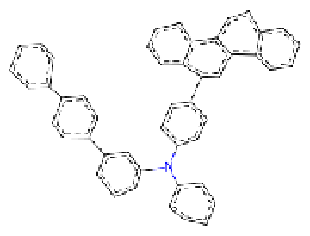 c1ccc(-c2ccc(-c3cccc(N(c4ccccc4)c4ccc(-c5cc6c7ccccc7ccc6c6ccccc56)cc4)c3)cc2)cc1